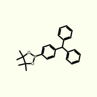 CC1(C)OB(c2ccc(C(c3ccccc3)c3ccccc3)cc2)OC1(C)C